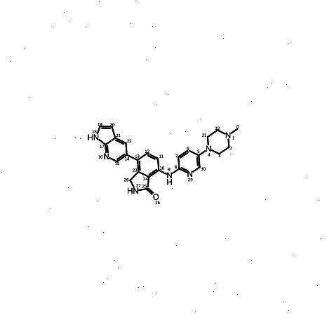 CN1CCN(c2ccc(Nc3ccc(-c4cnc5[nH]ccc5c4)c4c3C(=O)NC4)nc2)CC1